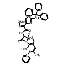 CON=C(C(=O)NC1C(=O)N2C(C(=O)[O-])=C(C=C(C)S[n+]3ccccc3)CS[C@@H]12)c1csc(NC(c2ccccc2)(c2ccccc2)c2ccccc2)n1